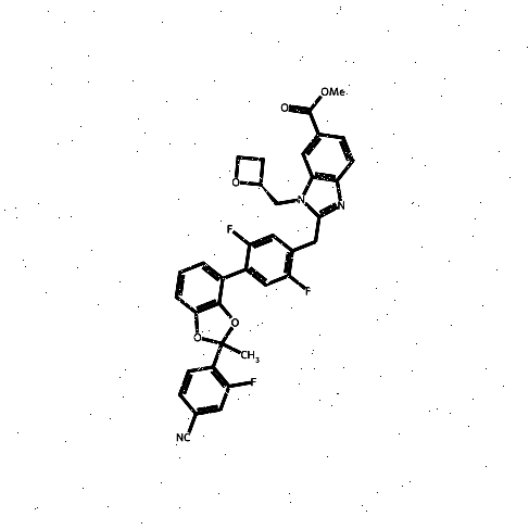 COC(=O)c1ccc2nc(Cc3cc(F)c(-c4cccc5c4OC(C)(c4ccc(C#N)cc4F)O5)cc3F)n(C[C@@H]3CCO3)c2c1